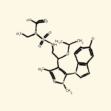 CCN(C(=O)O)S(=O)(=O)NCC(OC(C)C)c1c(C)nn(C)c1-n1ccc2cc(Cl)ccc21